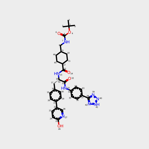 CC(C)(C)OC(=O)NCC1CCC(C(=O)N[C@@H](Cc2ccc(-c3ccc(O)nc3)cc2)C(=O)Nc2ccc(-c3nn[nH]n3)cc2)CC1